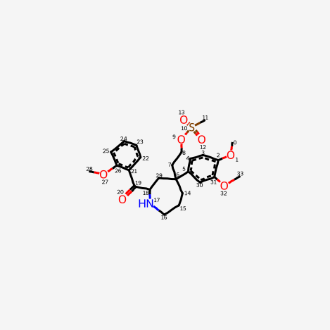 COc1ccc(C2(CCOS(C)(=O)=O)CCCNC(C(=O)c3ccccc3OC)C2)cc1OC